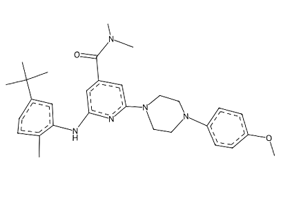 COc1ccc(N2CCN(c3cc(C(=O)N(C)C)cc(Nc4cc(C(C)(C)C)ccc4C)n3)CC2)cc1